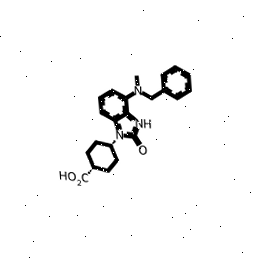 CN(Cc1ccccc1)c1cccc2c1[nH]c(=O)n2[C@H]1CC[C@@H](C(=O)O)CC1